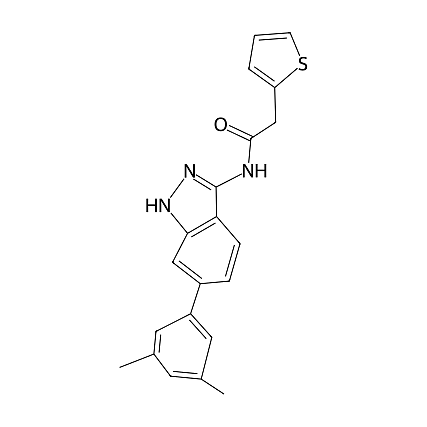 Cc1cc(C)cc(-c2ccc3c(NC(=O)Cc4cccs4)n[nH]c3c2)c1